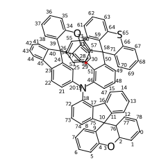 C1=CC2Oc3ccccc3C3(c4ccccc4-c4c(N(c5ccc6c(c5)C5(c7ccccc7Oc7ccccc75)c5ccccc5-6)c5cccc6c5-c5ccccc5C65c6ccccc6Sc6ccccc65)cccc43)C2C=C1